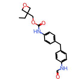 CCC1(COC(=O)Nc2ccc(Cc3ccc(NC=O)cc3)cc2)COC1